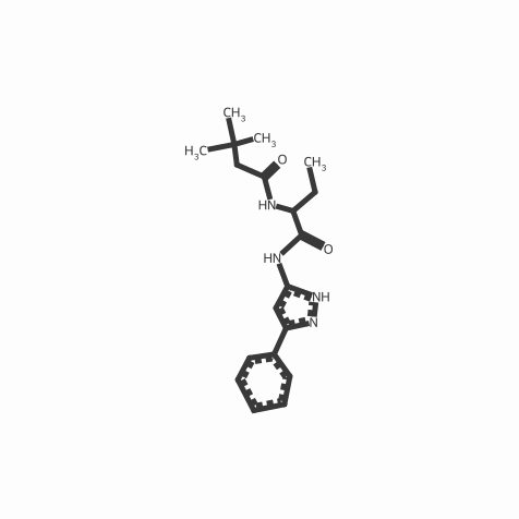 CCC(NC(=O)CC(C)(C)C)C(=O)Nc1cc(-c2ccccc2)n[nH]1